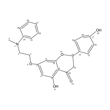 CN(CCOc1cc(O)c2c(c1)OC(c1ccc(O)cc1)CC2=O)c1ccccc1